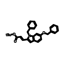 CC(C)(C)OC(=O)/C=C/c1cc2ccc(OCc3ccccc3)cc2n1Cc1ccccc1